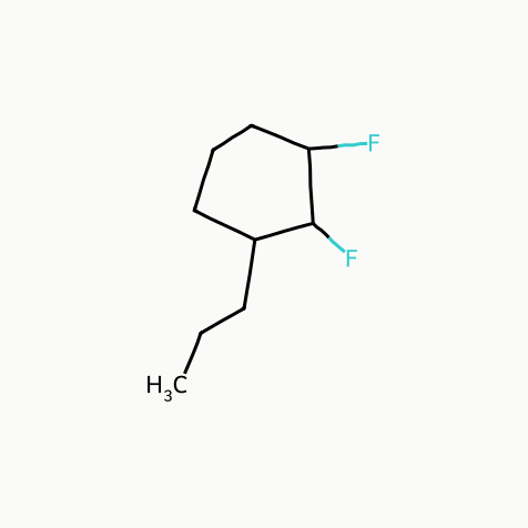 CCCC1CCCC(F)C1F